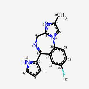 Cc1cn2c(n1)CN=C(c1ccc[nH]1)c1cc(F)ccc1-2